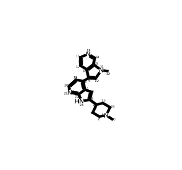 CN1CCC(c2cc3c(-c4cn(C)c5cnccc45)ccnc3[nH]2)CC1